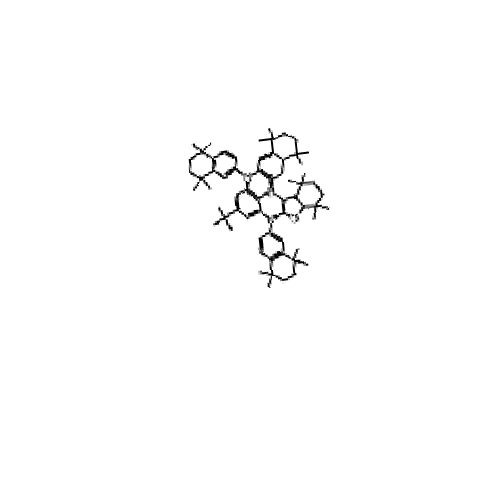 CC1(C)CCC(C)(C)C2CC3=C(C=C21)N(c1ccc2c(c1)C(C)(C)CCC2(C)C)c1cc(C(C)(C)C)cc2c1B3C1=C(OC3C1C(C)(C)CCC3(C)C)N2c1ccc2c(c1)C(C)(C)CCC2(C)C